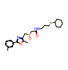 Cc1cccc(-c2nc(C[S+]([O-])CC(=O)NCCCSC3CCCCC3)c(C)o2)c1